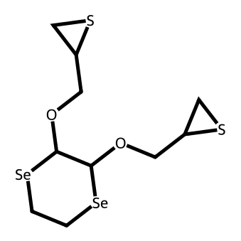 C1C[Se]C(OCC2CS2)C(OCC2CS2)[Se]1